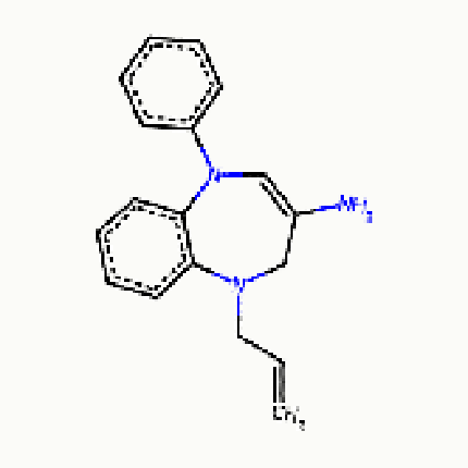 C=CCN1CC(N)=CN(c2ccccc2)c2ccccc21